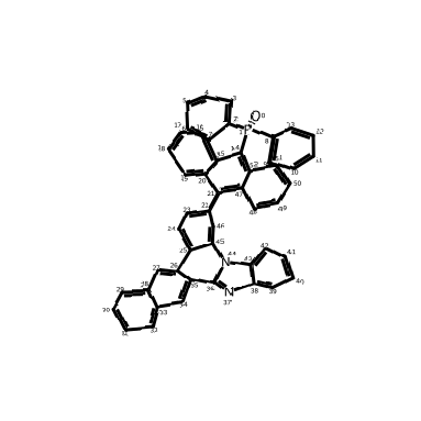 O=P(c1ccccc1)(c1ccccc1)c1c2ccccc2c(-c2ccc3c4cc5ccccc5cc4c4nc5ccccc5n4c3c2)c2ccccc12